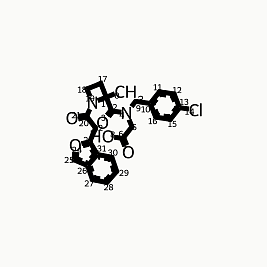 CC1(C(=O)N(CC(=O)O)Cc2ccc(Cl)cc2)CCN1C(=O)Cc1occ2ccccc12